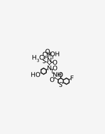 CC1(C)SC2C(N(C(=O)CNC(=O)c3csc4ccc(F)cc4c3=O)c3ccc(O)cc3)C(=O)N2C1C(=O)O